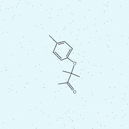 CC(=O)C(C)(C)Oc1ccc(C)cc1